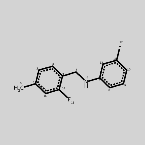 Cc1ccc(CNc2cccc(F)c2)c(F)c1